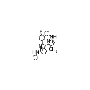 Cc1cnc(NC2CCCC2)nc1-c1c(-c2ccc(F)cc2)nn2c(NC3CCCC3)cccc12